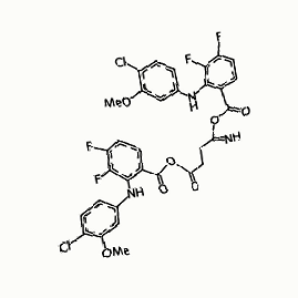 COc1cc(Nc2c(C(=O)OC(=N)CCC(=O)OC(=O)c3ccc(F)c(F)c3Nc3ccc(Cl)c(OC)c3)ccc(F)c2F)ccc1Cl